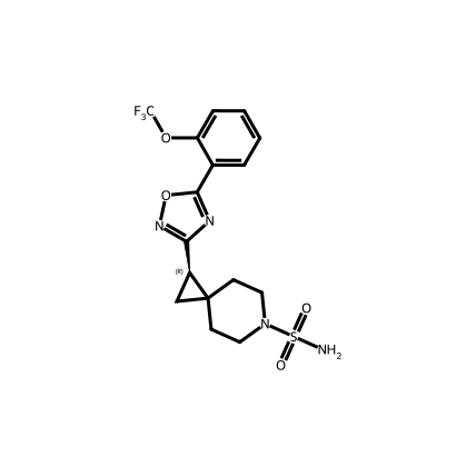 NS(=O)(=O)N1CCC2(CC1)C[C@H]2c1noc(-c2ccccc2OC(F)(F)F)n1